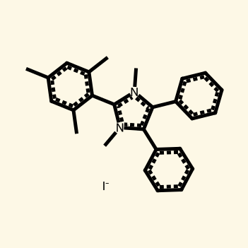 Cc1cc(C)c(-c2n(C)c(-c3ccccc3)c(-c3ccccc3)[n+]2C)c(C)c1.[I-]